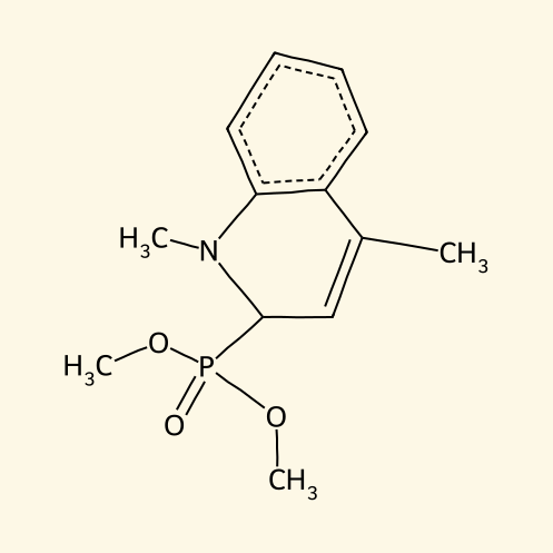 COP(=O)(OC)C1C=C(C)c2ccccc2N1C